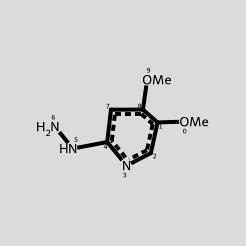 COc1cnc(NN)cc1OC